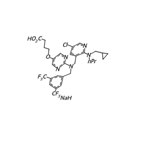 CCCN(CC1CC1)c1ncc(Cl)cc1CN(Cc1cc(C(F)(F)F)cc(C(F)(F)F)c1)c1ncc(OCCCC(=O)O)cn1.[NaH]